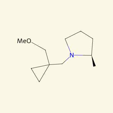 COCC1(CN2CCC[C@H]2C)CC1